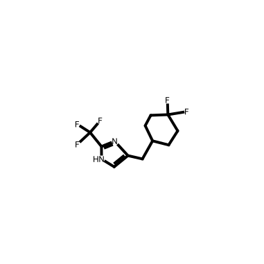 FC1(F)CCC(Cc2c[nH]c(C(F)(F)F)n2)CC1